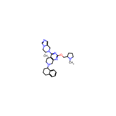 C[C@@H]1Cn2cncc2CN1c1nc(OCC2CCCN2C)nc2c1CCN(C1CCCc3ccccc31)C2